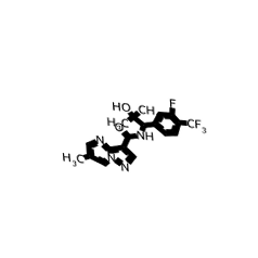 Cc1cnc2c(C(=O)NC(c3ccc(C(F)(F)F)c(F)c3)C(C)(C)O)cnn2c1